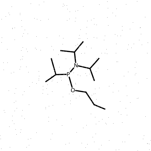 CCCOP(C(C)C)N(C(C)C)C(C)C